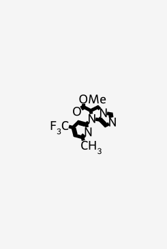 COC(=O)C1Cn2cncc2N1c1cc(C(F)(F)F)cc(C)n1